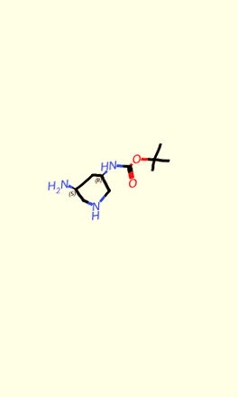 CC(C)(C)OC(=O)N[C@H]1CNC[C@@H](N)C1